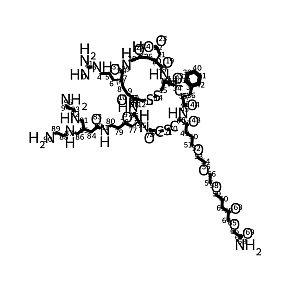 N=C(N)NCCC[C@@H]1CC(=O)[C@@H]2CSSC[C@H](NC(=O)[C@H](CC(=O)O)CC(=O)CNC1=O)C(=O)C[C@@H](Cc1ccccc1)C(=O)N[C@H](C(=O)CCCOCCOCCOCCCC(=O)COCC(N)=O)CSCC(=O)N[C@@H](CCCCNC(=O)CC(CNCCN)CNCCN)C(=O)N2